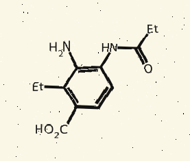 CCC(=O)Nc1ccc(C(=O)O)c(CC)c1N